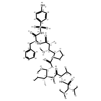 CC[C@@H](C)[C@@H]([C@@H](CC(=O)N1CCC[C@H]1[C@H](OC)[C@@H](C)C(=O)N[C@@H](Cc1ccccc1)C(=O)NS(=O)(=O)c1ccc(N)cc1)OC)N(C)C(=O)[C@@H](NC(=O)[C@H](C(C)C)N(C)C)C(C)C